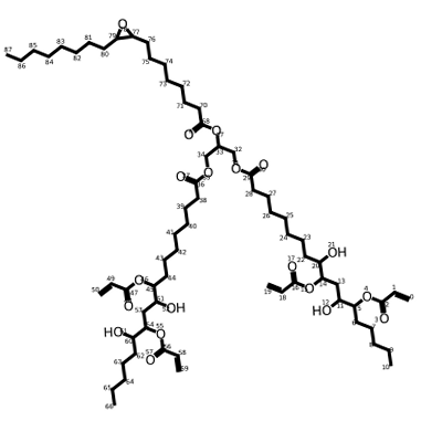 C=CC(=O)OC(CCCCC)C(O)CC(OC(=O)C=C)C(O)CCCCCCCC(=O)OCC(COC(=O)CCCCCCCC(OC(=O)C=C)C(O)CC(OC(=O)C=C)C(O)CCCCC)OC(=O)CCCCCCCC1OC1CCCCCCCC